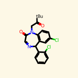 CC(C)(C)C(=O)CN1C(=O)C=NC(c2ccccc2Cl)c2cc(Cl)ccc21